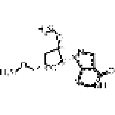 O=c1[nH]cnc2c1cnn2[C@@H]1O[C@H](CO[SiH3])C[C@H]1O[SiH3]